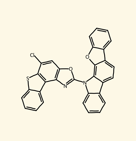 Clc1cc2oc(-n3c4ccccc4c4ccc5c6ccccc6oc5c43)nc2c2c1sc1ccccc12